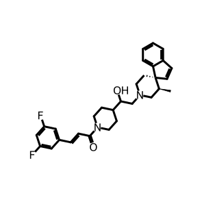 C[C@H]1CN(CC(O)C2CCN(C(=O)/C=C/c3cc(F)cc(F)c3)CC2)CC[C@]12C=Cc1ccccc12